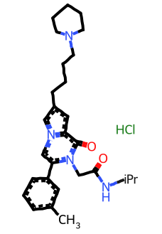 Cc1cccc(-c2cn3cc(CCCCN4CCCCC4)cc3c(=O)n2CC(=O)NC(C)C)c1.Cl